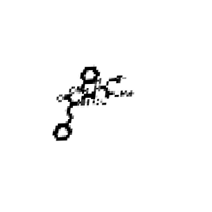 COC(=O)C(CCc1ccccc1)N[C@@H](Cc1ccccc1)C(=O)N[C@@H](CC(C)C)C(=O)OC